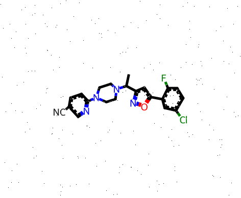 CC(c1cc(-c2cc(Cl)ccc2F)on1)N1CCN(c2ccc(C#N)cn2)CC1